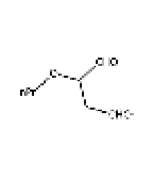 CCCOC([C]=O)C[C]=O